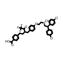 CN(CCOc1ccc(CC(CCc2ccc(C(=O)O)cc2)C(=O)C(F)(F)F)cc1)CC(c1ccc(Cl)cc1)c1ccc(Cl)cc1